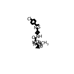 CS(=O)(=O)C1(c2nnc(C(=O)NC34CC(c5nc(-c6ccc(Cl)cc6)cs5)(C3)C4)o2)CC1